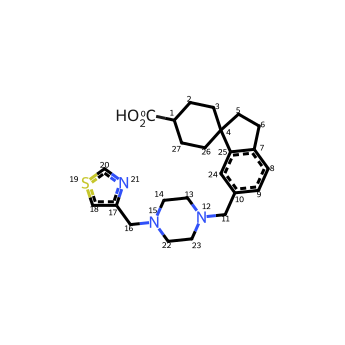 O=C(O)C1CCC2(CCc3ccc(CN4CCN(Cc5cscn5)CC4)cc32)CC1